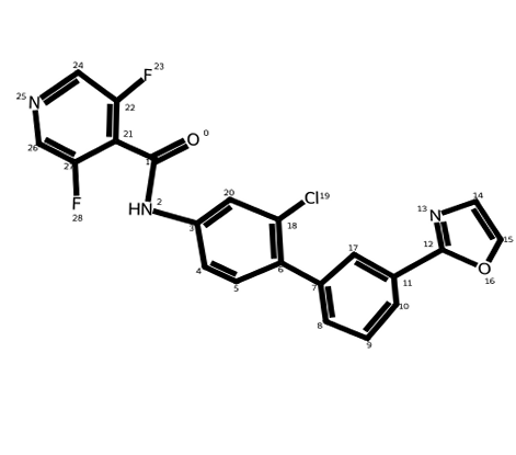 O=C(Nc1ccc(-c2cccc(-c3ncco3)c2)c(Cl)c1)c1c(F)cncc1F